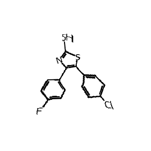 Fc1ccc(-c2nc(S)sc2-c2ccc(Cl)cc2)cc1